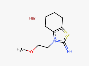 Br.COCCn1c2c(sc1=N)CCCC2